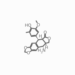 COc1cc([C@@H]2c3cc4c(cc3[C@@H](N)[C@H]3COC(=O)[C@H]23)OCO4)cc(C)c1O